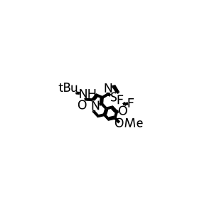 COc1cc2c(cc1OC(F)F)-c1c(-c3nccs3)cc(C(=O)NCC(C)(C)C)n1CC2